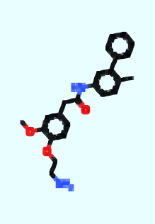 COc1cc(CC(=O)Nc2ccc(C)c(-c3ccccc3)c2)ccc1OCCN